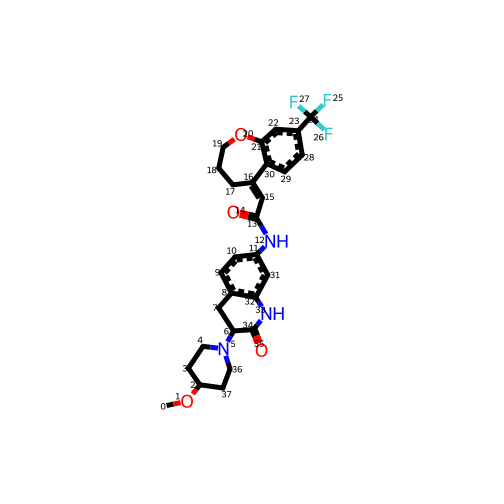 COC1CCN(C2Cc3ccc(NC(=O)/C=C4\CCCOc5cc(C(F)(F)F)ccc54)cc3NC2=O)CC1